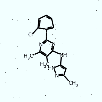 Cc1cc(Nc2nc(-c3ccccc3Cl)nc(C)c2C)[nH]n1